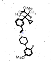 COC(=O)C(C)(F)[C@@](C)(c1cccc(/C=C/[C@H]2CC[C@H](c3cc(OC)ccc3F)CC2)c1)C1CC1